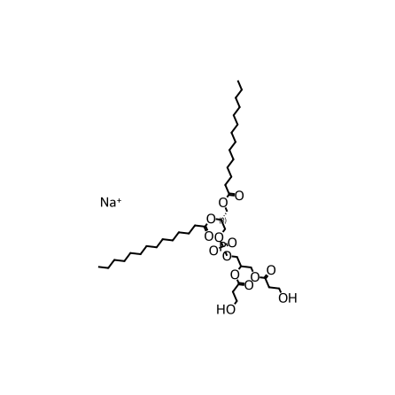 CCCCCCCCCCCCCC(=O)OC[C@H](COP(=O)([O-])OCC(COC(=O)CCO)OC(=O)CCO)OC(=O)CCCCCCCCCCCCC.[Na+]